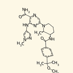 COC(C)(C)c1ccc(C(=O)N[C@@H]2CCCN(c3cnc(C(N)=O)c(Nc4cnn(C)c4)n3)[C@@H]2C)cc1